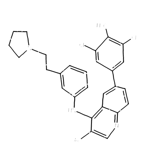 CC(=O)c1cnc2ccc(-c3cc(Cl)c(C)c(Cl)c3)cc2c1Nc1cccc(CCN2CCCC2)c1